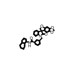 O=C(Nc1cccc2ccccc12)c1cccc(CN2C(=O)C3(COc4cc5c(cc43)OCO5)c3ccccc32)c1